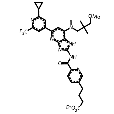 CCOC(=O)CCCc1ccc(C(=O)Nc2nc3nc(-c4cc(C5CC5)nc(C(F)(F)F)c4)cc(N(C)CC(C)(C)COC)c3[nH]2)nc1